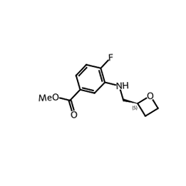 COC(=O)c1ccc(F)c(NC[C@@H]2CCO2)c1